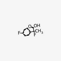 CC(F)(C(=O)O)c1ccc(F)cc1